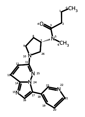 CCCC(=O)N(C)[C@H]1CCN(c2ccc3ncc(-c4cccnc4)n3n2)C1